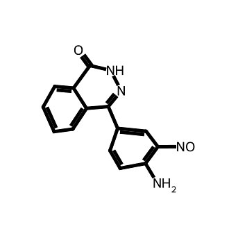 Nc1ccc(-c2n[nH]c(=O)c3ccccc23)cc1N=O